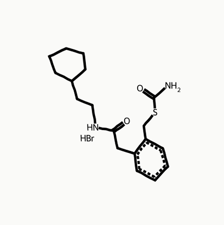 Br.NC(=O)SCc1ccccc1CC(=O)NCCC1CCCCC1